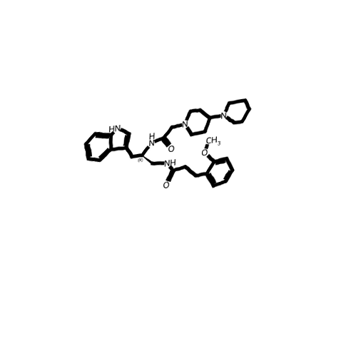 COc1ccccc1CCC(=O)NC[C@@H](Cc1c[nH]c2ccccc12)NC(=O)CN1CCC(N2CCCCC2)CC1